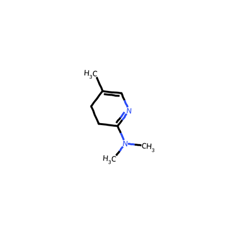 CC1=CN=C(N(C)C)CC1